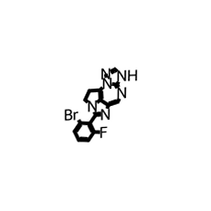 Fc1cccc(Br)c1-c1nc2c3n1CCC=3N1N=CNC1=NC=2